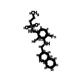 CCCS(=O)(=O)Nc1ccc(F)c(NCc2cnc3ccccc3c2)c1F